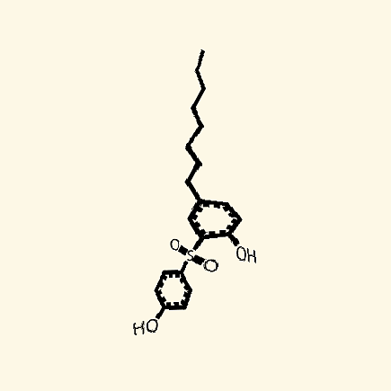 CCCCCCCCc1ccc(O)c(S(=O)(=O)c2ccc(O)cc2)c1